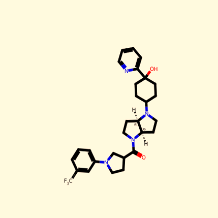 O=C(C1CCN(c2cccc(C(F)(F)F)c2)C1)N1CC[C@@H]2[C@H]1CCN2C1CCC(O)(c2ccccn2)CC1